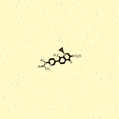 CCOC(=O)c1cn(C2CC2)c2c(C)c(-c3ccc(N(C(C)=O)N(C)C(C)=O)nc3)ccc2c1=O